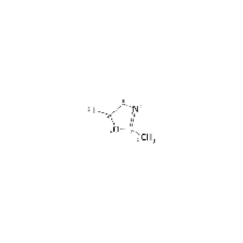 CC1=NCC(I)O1